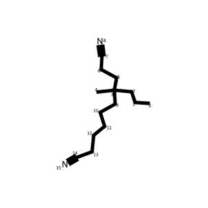 CCCC(C)(CCC#N)CCCCCC#N